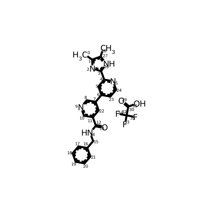 Cc1nc(-c2cc(-c3cncc(C(=O)NCc4ccccc4)c3)ccn2)[nH]c1C.O=C(O)C(F)(F)F